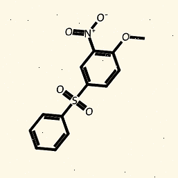 COc1ccc(S(=O)(=O)c2ccccc2)cc1[N+](=O)[O-]